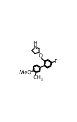 COc1ccc(-c2ccc(F)cc2CO[C@H]2CCNC2)cc1C